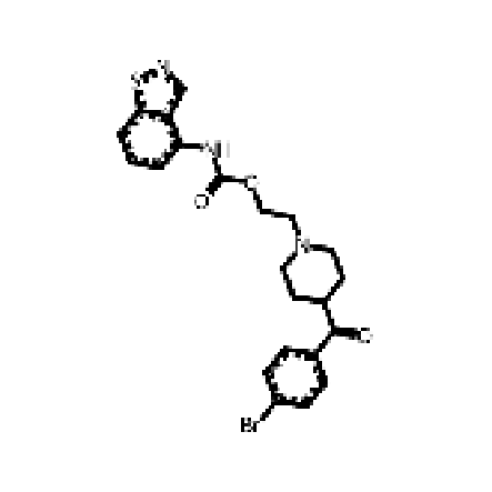 O=C(Nc1cccc2sncc12)OCCN1CCC(C(=O)c2ccc(Br)cc2)CC1